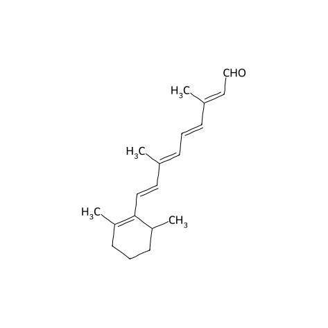 CC1=C(/C=C/C(C)=C/C=C/C(C)=C/C=O)C(C)CCC1